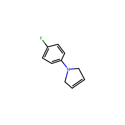 Fc1ccc(N2CC=CC2)cc1